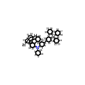 c1ccc(N(c2ccc(-c3ccc([Si](c4ccccc4)(c4ccccc4)c4ccccc4)cc3)cc2)c2cccc3c2-c2ccccc2C32[C@H]3CCC4C[C@@H](C3)C[C@H]42)cc1